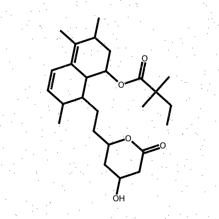 CCC(C)(C)C(=O)OC1CC(C)C(C)=C2C=CC(C)C(CCC3CC(O)CC(=O)O3)C21